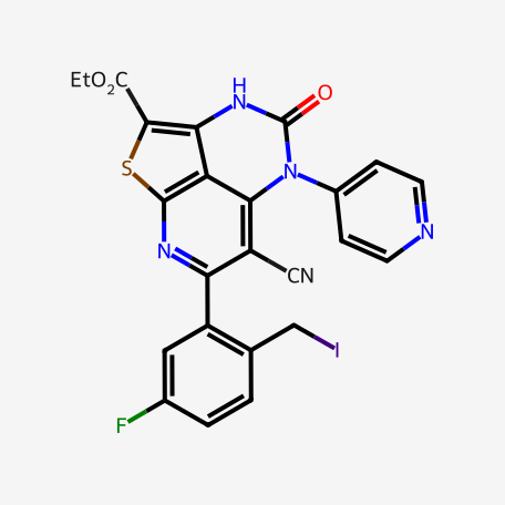 CCOC(=O)c1sc2nc(-c3cc(F)ccc3CI)c(C#N)c3c2c1NC(=O)N3c1ccncc1